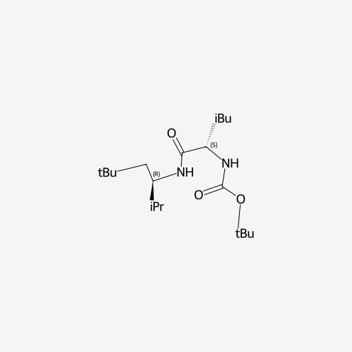 CCC(C)[C@H](NC(=O)OC(C)(C)C)C(=O)N[C@H](CC(C)(C)C)C(C)C